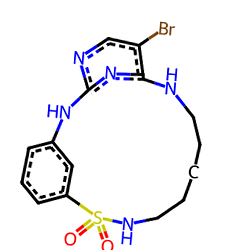 O=S1(=O)NCCCCCNc2nc(ncc2Br)Nc2cccc1c2